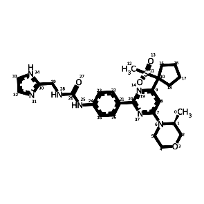 C[C@H]1COCCN1c1cc(C2(S(C)(=O)=O)CCCC2)nc(-c2ccc(NC(=O)NCc3ncc[nH]3)cc2)n1